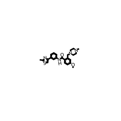 COc1ccc(C(=O)Nc2cccc(-c3csc(C)n3)c2)c(CN2CCN(C)CC2)c1